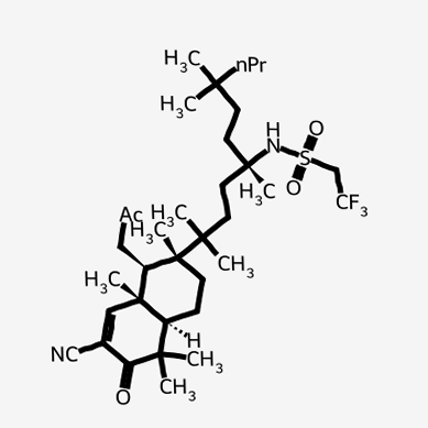 CCCC(C)(C)CC[C@@](C)(CCC(C)(C)[C@]1(C)CC[C@H]2C(C)(C)C(=O)C(C#N)=C[C@]2(C)[C@H]1CC(C)=O)NS(=O)(=O)CC(F)(F)F